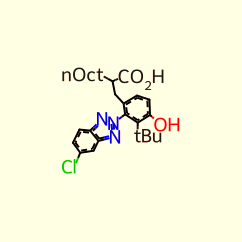 CCCCCCCCC(Cc1ccc(O)c(C(C)(C)C)c1-n1nc2ccc(Cl)cc2n1)C(=O)O